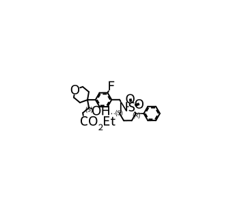 CCOC(=O)C[C@H](O)C1(c2ccc(CN3[C@@H](C)CC[C@H](c4ccccc4)S3(=O)=O)c(F)c2)CCOCC1